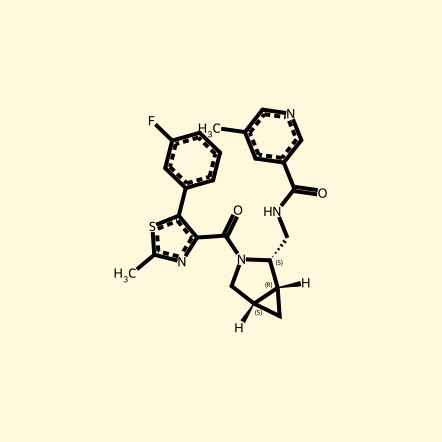 Cc1cncc(C(=O)NC[C@@H]2[C@@H]3C[C@@H]3CN2C(=O)c2nc(C)sc2-c2cccc(F)c2)c1